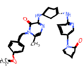 COc1ccc(Cn2c(C)cnc(N[C@H]3CC[C@H](Nc4ccc(-n5ccccc5=O)cn4)C3)c2=O)cc1